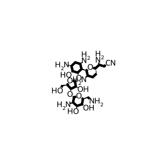 N#CC[C@H](N)[C@@H]1CC[C@@H](N)[C@@H](C2[C@@H](N)C[C@@H](N)[C@H](O)[C@H]2O[C@@H]2O[C@H](CO)[C@@H](O[C@H]3O[C@@H](CN)[C@@H](O)[C@H](O)[C@H]3N)[C@H]2O)O1